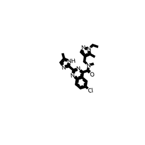 CCn1ncc(CN(C)C(=O)c2nc(-c3ncc(C)[nH]3)nc3ccc(Cl)cc23)c1C